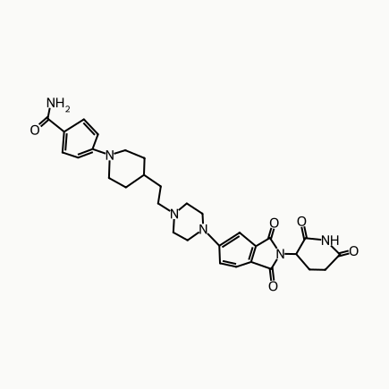 NC(=O)c1ccc(N2CCC(CCN3CCN(c4ccc5c(c4)C(=O)N(C4CCC(=O)NC4=O)C5=O)CC3)CC2)cc1